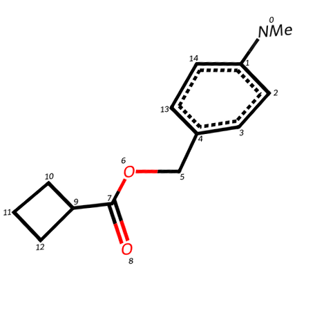 CNc1ccc(COC(=O)C2CCC2)cc1